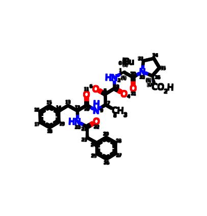 CC[C@H](C)[C@H](NC(=O)C(=O)C(C)NC(=O)C(Cc1ccccc1)NC(=O)Cc1ccccc1)C(=O)N1CCC[C@H]1C(=O)O